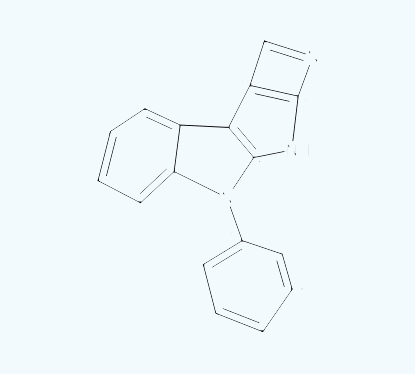 C1=Nc2[nH]c3c(c21)c1ccccc1n3-c1ccccc1